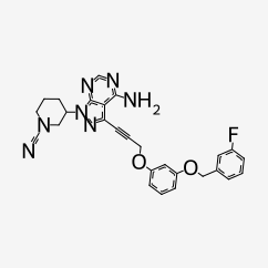 N#CN1CCCC(n2nc(C#CCOc3cccc(OCc4cccc(F)c4)c3)c3c(N)ncnc32)C1